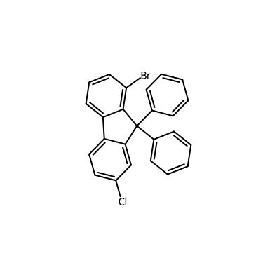 Clc1ccc2c(c1)C(c1ccccc1)(c1ccccc1)c1c(Br)cccc1-2